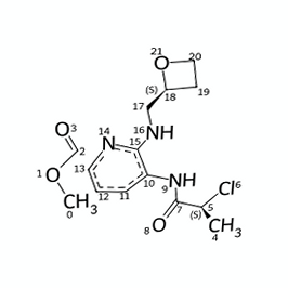 COC=O.C[C@H](Cl)C(=O)Nc1cccnc1NC[C@@H]1CCO1